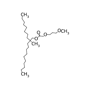 CCCCCCCCCCC(C)(CCCCCCCC)COC(=O)COCCCOC